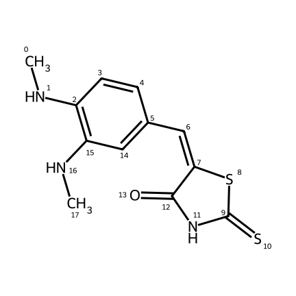 CNc1ccc(C=C2SC(=S)NC2=O)cc1NC